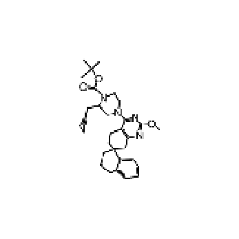 COc1nc2c(c(N3CCN(C(=O)OC(C)(C)C)C(CC#N)C3)n1)CCC1(CCCc3ccccc31)C2